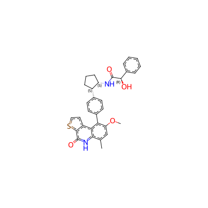 COc1cc(C)c2[nH]c(=O)c3sccc3c2c1-c1ccc([C@@H]2CCC[C@@H]2NC(=O)[C@H](O)c2ccccc2)cc1